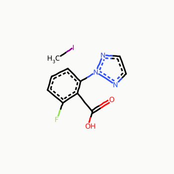 CI.O=C(O)c1c(F)cccc1-n1nccn1